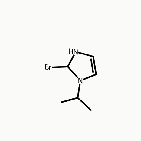 CC(C)N1C=CNC1Br